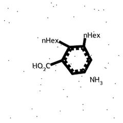 CCCCCCc1cccc(C(=O)O)c1CCCCCC.N